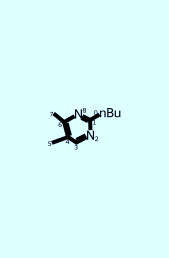 CCCCc1ncc(C)c(C)n1